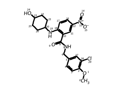 COc1ccc(CNC(=O)c2cc([N+](=O)[O-])ccc2NC2CCC(O)CC2)cc1Cl